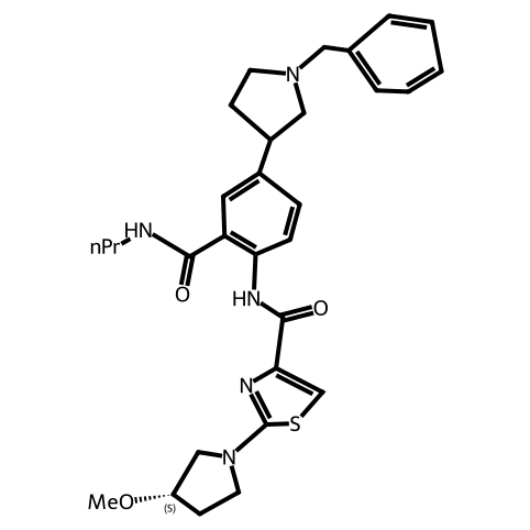 CCCNC(=O)c1cc(C2CCN(Cc3ccccc3)C2)ccc1NC(=O)c1csc(N2CC[C@H](OC)C2)n1